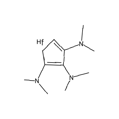 CN(C)C1=CCC(N(C)C)=C1N(C)C.[Hf]